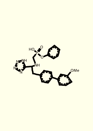 COc1cccc(-c2ccc(CC(NCP(=O)(O)Oc3ccccc3)c3nnn[nH]3)cc2)c1